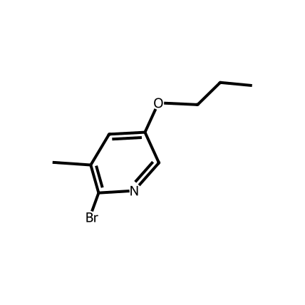 CCCOc1cnc(Br)c(C)c1